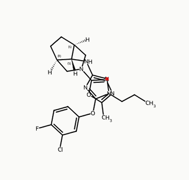 CCCn1nc(N[C@@H]2[C@@H]3CC[C@H]2CN(c2nnc(C)o2)C3)nc1Oc1ccc(F)c(Cl)c1